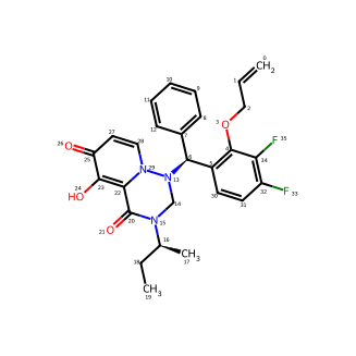 C=CCOc1c([C@H](c2ccccc2)N2CN([C@@H](C)CC)C(=O)c3c(O)c(=O)ccn32)ccc(F)c1F